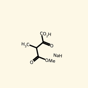 COC(=O)C(C)C(=O)C(=O)O.[NaH]